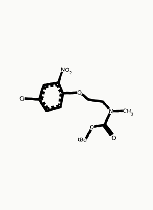 CN(CCOc1ccc(Cl)cc1[N+](=O)[O-])C(=O)OC(C)(C)C